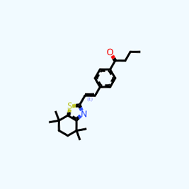 CCCC(=O)c1ccc(/C=C/c2nc3c(s2)C(C)(C)CCC3(C)C)cc1